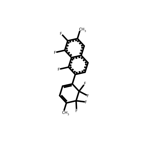 CC1=CC=C(c2ccc3cc(C)c(F)c(F)c3c2F)C(F)(F)C1(F)F